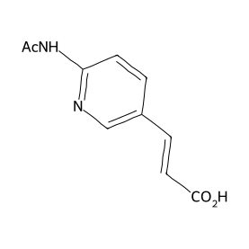 CC(=O)Nc1ccc(/C=C/C(=O)O)cn1